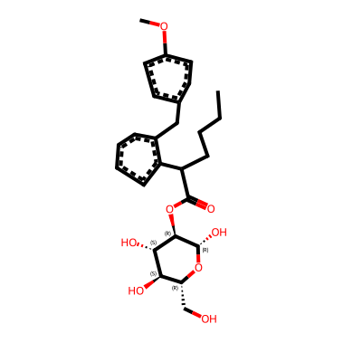 CCCCC(C(=O)O[C@@H]1[C@@H](O)[C@H](O)[C@@H](CO)O[C@H]1O)c1ccccc1Cc1ccc(OC)cc1